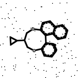 c1ccc2c3c(ccc2c1)OCC(C1CC1)COc1ccc2ccccc2c1-3